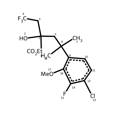 CCOC(=O)C(O)(CC(F)(F)F)CC(C)(C)c1ccc(Cl)c(F)c1OC